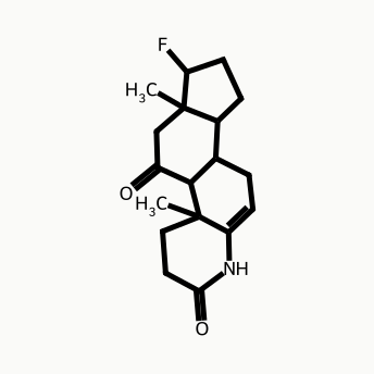 CC12CCC(=O)NC1=CCC1C2C(=O)CC2(C)C(F)CCC12